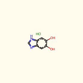 Cl.Oc1cc2nc[nH]c2cc1O